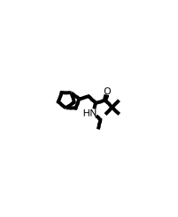 CCNC(CC1CC2CCC1C2)C(=O)C(C)(C)C